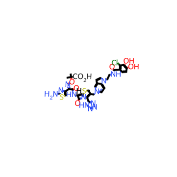 CC(C)(O/N=C(\C(=O)N[C@@H]1C(=O)N2C(c3nnn[nH]3)=C(C[n+]3ccc4c(ccn4CCNC(=O)c4ccc(O)c(O)c4Cl)c3)CS[C@H]12)c1csc(N)n1)C(=O)O